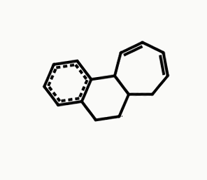 [CH]1Cc2ccccc2C2C=CC=CCC12